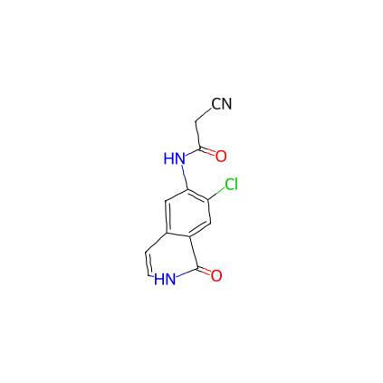 N#CCC(=O)Nc1cc2cc[nH]c(=O)c2cc1Cl